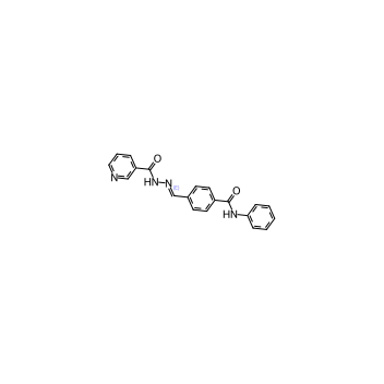 O=C(N/N=C/c1ccc(C(=O)Nc2ccccc2)cc1)c1cccnc1